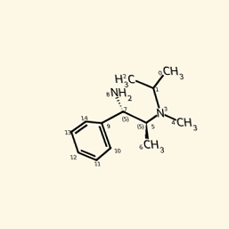 CC(C)N(C)[C@@H](C)[C@@H](N)c1ccccc1